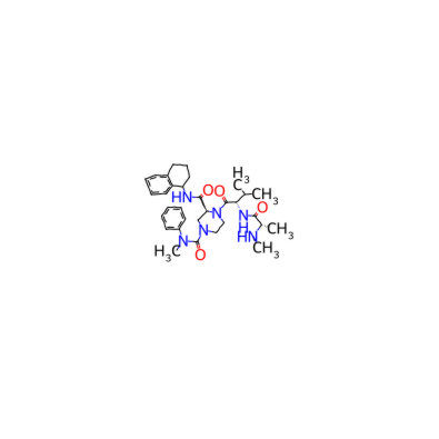 CN[C@@H](C)C(=O)N[C@H](C(=O)N1CCN(C(=O)N(C)c2ccccc2)C[C@H]1C(=O)NC1CCCc2ccccc21)C(C)C